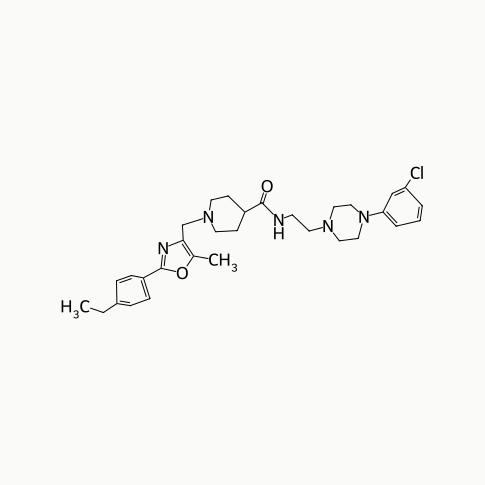 CCc1ccc(-c2nc(CN3CCC(C(=O)NCCN4CCN(c5cccc(Cl)c5)CC4)CC3)c(C)o2)cc1